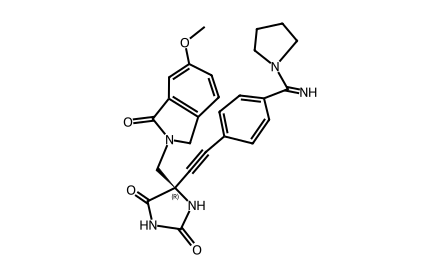 COc1ccc2c(c1)C(=O)N(C[C@@]1(C#Cc3ccc(C(=N)N4CCCC4)cc3)NC(=O)NC1=O)C2